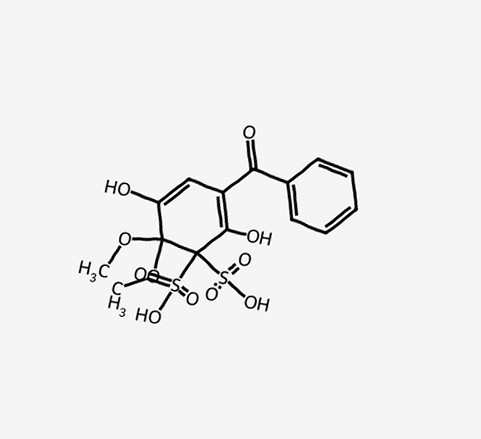 COC1(OC)C(O)=CC(C(=O)c2ccccc2)=C(O)C1(S(=O)(=O)O)S(=O)(=O)O